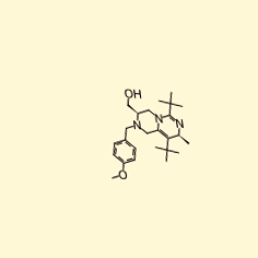 COc1ccc(CN2CC3=C(C(C)(C)C)[C@H](C)N=C(C(C)(C)C)N3C[C@@H]2CO)cc1